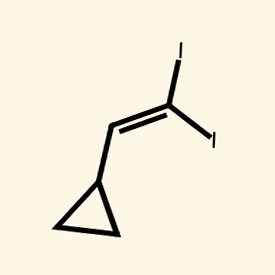 IC(I)=CC1CC1